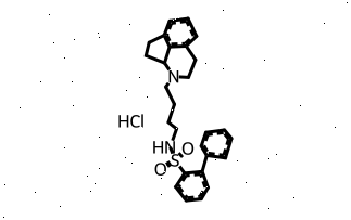 Cl.O=S(=O)(NCCCCN1CCc2cccc3c2C1CC3)c1ccccc1-c1ccccc1